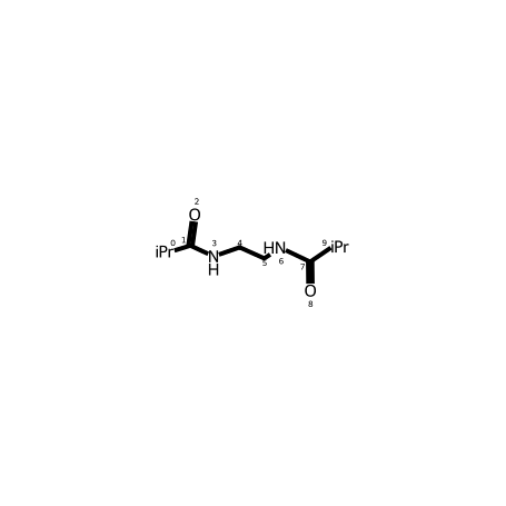 CC(C)C(=O)NCCNC(=O)C(C)C